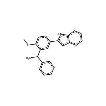 COc1ccc(-c2cc3ncccc3[nH]2)cc1C(N)c1cccnc1